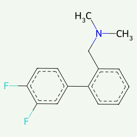 CN(C)Cc1ccccc1-c1ccc(F)c(F)c1